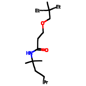 CCC(C)(CC)COCCC(=O)NC(C)(C)CCC(C)C